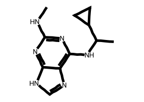 CNc1nc(NC(C)C2CC2)c2nc[nH]c2n1